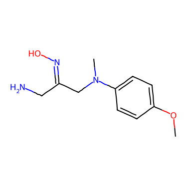 COc1ccc(N(C)CC(CN)=NO)cc1